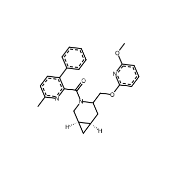 COc1cccc(OCC2C[C@H]3C[C@H]3CN2C(=O)c2nc(C)ccc2-c2ccccc2)n1